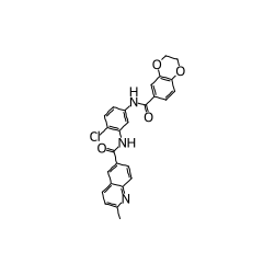 Cc1ccc2cc(C(=O)Nc3cc(NC(=O)c4ccc5c(c4)OCCO5)ccc3Cl)ccc2n1